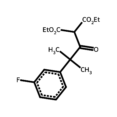 CCOC(=O)C(C(=O)OCC)C(=O)C(C)(C)c1cccc(F)c1